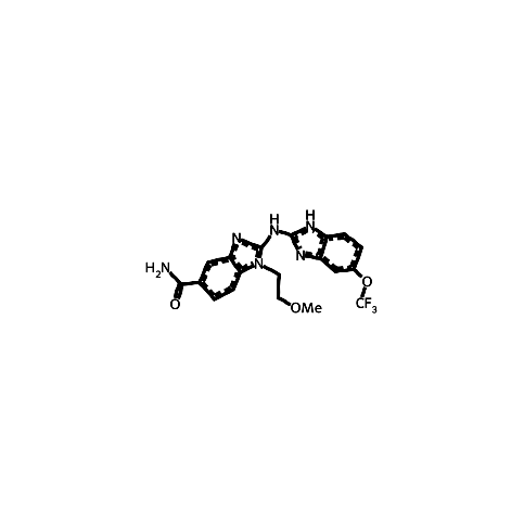 COCCn1c(Nc2nc3cc(OC(F)(F)F)ccc3[nH]2)nc2cc(C(N)=O)ccc21